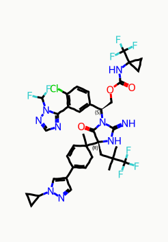 CC(C)(C[C@]1(C2(C)C=CC(c3cnn(C4CC4)c3)=CC2)NC(=N)N([C@H](COC(=O)NC2(C(F)(F)F)CC2)c2ccc(Cl)c(-c3ncnn3C(F)F)c2)C1=O)C(F)(F)F